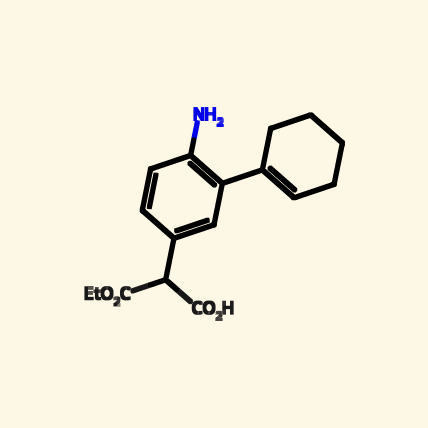 CCOC(=O)C(C(=O)O)c1ccc(N)c(C2=CCCCC2)c1